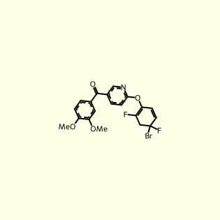 COc1ccc(C(=O)c2ccc(OC3=C(F)CC(F)(Br)C=C3)nc2)cc1OC